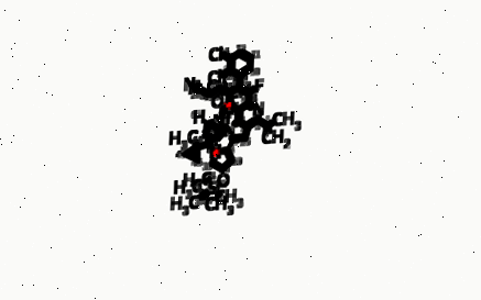 C=C(C)c1nc2c(F)c(-c3cccc(Cl)c3Cl)c(CCC#N)cc2c2c1cc([C@H]1C[C@H](O[Si](C)(C)C(C)(C)C)CN1C(=O)C1(C)CC1)n2[C@H]1[C@@H]2C[C@H]1N(C(=O)OC(C)(C)C)C2